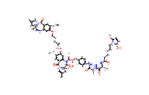 COc1cc2c(cc1OCCCCCOc1cc3c(cc1OC)C(=O)N1C=C(C)C[C@H]1[C@H](O)N3C(=O)OCc1ccc(NC(=O)[C@H](C)NC(=O)[C@@H](NC(=O)CCCCCN3C(=O)C=CC3O)C(C)C)cc1)N=C[C@@H]1CC(C)=CN1C2=O